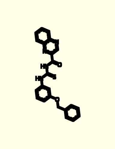 O=C(NC(=S)Nc1cccc(OCc2ccccc2)c1)c1cnc2ccccc2n1